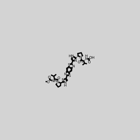 COC(=O)N[C@H](C(=O)N1CCCC1c1nc(-c2nc3cc4sc(-c5c[nH]c([C@@H]6CCCN6C(=O)[C@H](NC(=O)O)C(C)C)n5)nc4cc3s2)c[nH]1)C(C)C